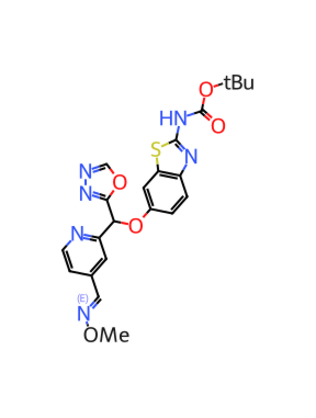 CO/N=C/c1ccnc(C(Oc2ccc3nc(NC(=O)OC(C)(C)C)sc3c2)c2nnco2)c1